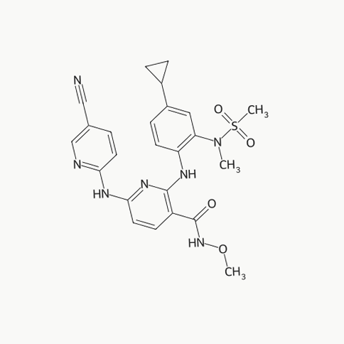 CONC(=O)c1ccc(Nc2ccc(C#N)cn2)nc1Nc1ccc(C2CC2)cc1N(C)S(C)(=O)=O